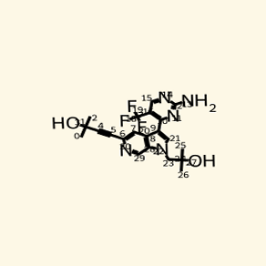 CC(C)(O)C#Cc1cc2c(-c3nc(N)ncc3C(F)(F)F)cn(CC(C)(C)O)c2cn1